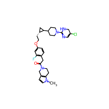 Cn1ccc2c1CCN(C(=O)Cc1ccc(OCC[C@@H]3CC3C3CCN(C4=NC=C(Cl)CN4)CC3)cc1F)C2